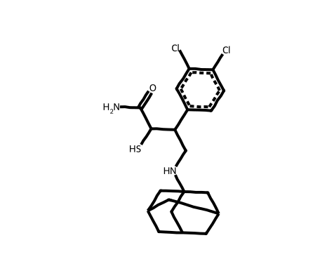 NC(=O)C(S)C(CNC12CC3CC(CC(C3)C1)C2)c1ccc(Cl)c(Cl)c1